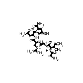 C=C(N)SCC(NC(=O)CNC(=O)C(NC(=O)CN)C(C)CC)C(=O)NC(CC(N)=O)C(=O)N1CC(O)CC1C(N)=O